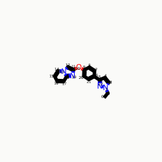 CCn1ccc(-c2ccc(Oc3cn4ccccc4n3)cc2)n1